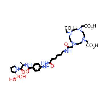 C[C@@H](NC(=O)c1ccc(NNC(=O)CCCCCNC(=O)CN2CCN(CC(=O)O)CCN(CC(=O)O)CCN(CC(=O)O)CC2)cc1)C(=O)N1CCC[C@H]1B(O)O